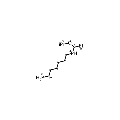 CCC(OC(C)C)PCCCCCCP